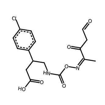 CC(=NOC(=O)NCC(CC(=O)O)c1ccc(Cl)cc1)C(=O)CC=O